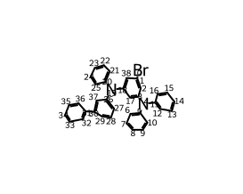 Brc1cc(N(c2ccccc2)c2ccccc2)cc(N(c2ccccc2)c2cccc(-c3ccccc3)c2)c1